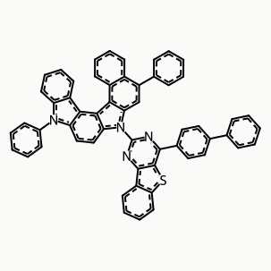 c1ccc(-c2ccc(-c3nc(-n4c5cc(-c6ccccc6)c6ccccc6c5c5c6c7ccccc7n(-c7ccccc7)c6ccc54)nc4c3sc3ccccc34)cc2)cc1